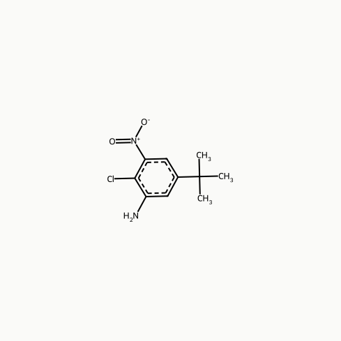 CC(C)(C)c1cc(N)c(Cl)c([N+](=O)[O-])c1